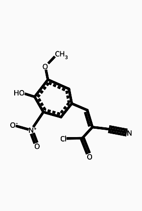 COc1cc(C=C(C#N)C(=O)Cl)cc([N+](=O)[O-])c1O